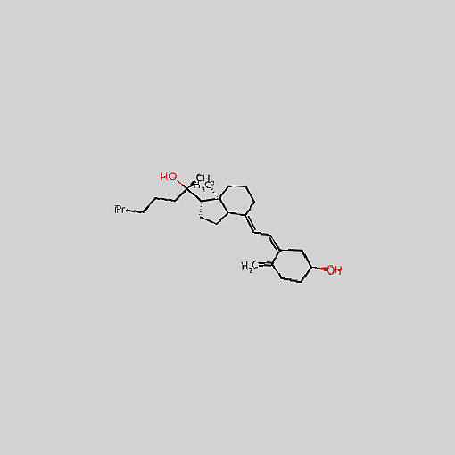 C=C1CC[C@H](O)C/C1=C/C=C1CCC[C@@]2(C)C1CC[C@@H]2[C@@](C)(O)CCCC(C)C